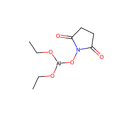 CC[O][Al]([O]CC)[O]N1C(=O)CCC1=O